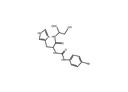 O=CC(CO)NC(=O)C(Cc1c[nH]cn1)NC(=O)Nc1ccc(Br)cc1